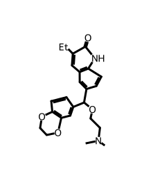 CCc1cc2cc(C(OCCN(C)C)c3ccc4c(c3)OCCO4)ccc2[nH]c1=O